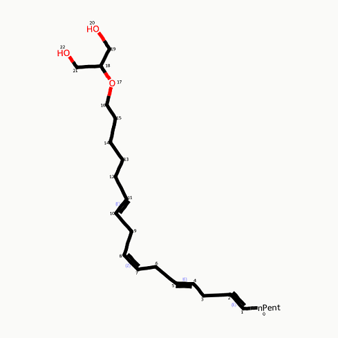 CCCCC/C=C/C/C=C/C/C=C\C/C=C/CCCCCOC(CO)CO